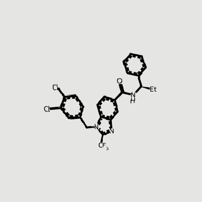 CC[C@@H](NC(=O)c1ccc2c(c1)nc(C(F)(F)F)n2Cc1ccc(Cl)c(Cl)c1)c1ccccc1